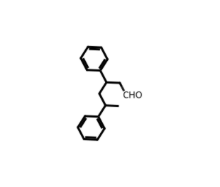 CC(CC(CC=O)c1ccccc1)c1ccccc1